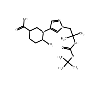 CC1CCC(C(=O)O)CN1c1cnn(CC(C)(C)NC(=O)OC(C)(C)C)c1